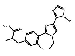 COC(=O)C(C)Cc1ccc2c(c1)OCCn1cc(-c3ncnn3C(C)C)nc1-2